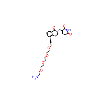 NCCOCCOCCOCCOCC#Cc1cccc2c1CC[C@@H](CC1CCC(=O)NC1=O)C2=O